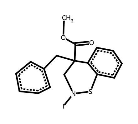 COC(=O)C1(Cc2ccccc2)CN(I)Sc2ccccc21